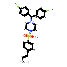 O=C(O)C=Cc1ccc(S(=O)(=O)N2CCN(C(c3ccc(F)cc3)c3ccc(F)cc3)CC2)cc1